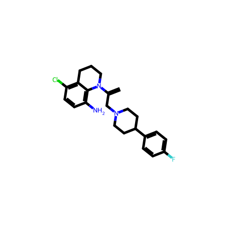 C=C(CN1CCC(c2ccc(F)cc2)CC1)N1CCCc2c(Cl)ccc(N)c21